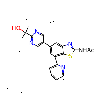 CC(=O)Nc1nc2cc(-c3cnc(C(C)(C)O)nc3)cc(-c3ccccn3)c2s1